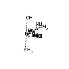 CCCCCCCCCCCCCCN(CCCCCCCCCCCCCC)C(=O)CNC(=O)CNCCCN(CCCN)CCCN.Cl.Cl.Cl.Cl